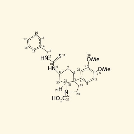 COc1ccc(C23CCC(NC(=S)NCc4ccccc4)C[C@@H]2N(C(=O)O)CC3)cc1OC